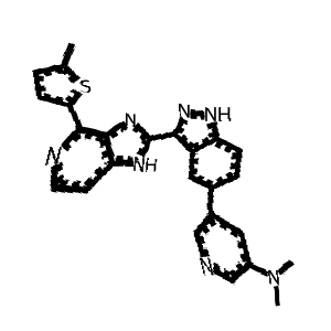 Cc1ccc(-c2nccc3[nH]c(-c4n[nH]c5ccc(-c6cncc(N(C)C)c6)cc45)nc23)s1